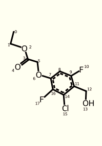 CCOC(=O)COc1cc(F)c(CO)c(Cl)c1F